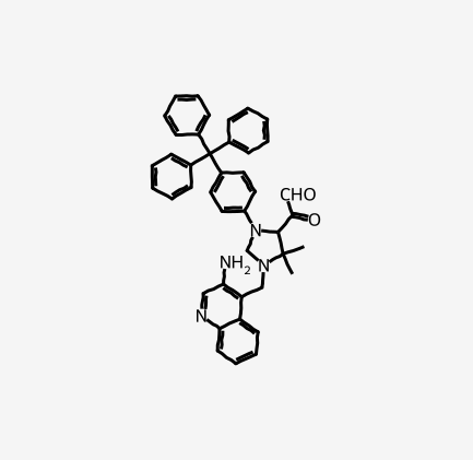 CC1(C)C(C(=O)C=O)N(c2ccc(C(c3ccccc3)(c3ccccc3)c3ccccc3)cc2)CN1Cc1c(N)cnc2ccccc12